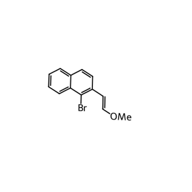 COC=Cc1ccc2ccccc2c1Br